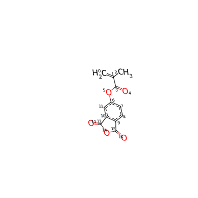 C=C(C)C(=O)Oc1ccc2c(c1)C(=O)OC2=O